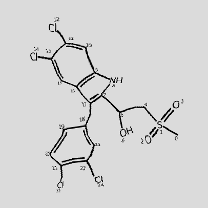 CS(=O)(=O)CC(O)c1[nH]c2cc(Cl)c(Cl)cc2c1-c1ccc(Cl)c(Cl)c1